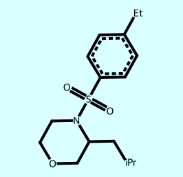 CCc1ccc(S(=O)(=O)N2CCOCC2CC(C)C)cc1